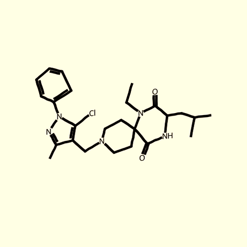 CCN1C(=O)C(CC(C)C)NC(=O)C12CCN(Cc1c(C)nn(-c3ccccc3)c1Cl)CC2